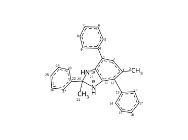 Cc1cc(-c2ccccc2)c2c(c1-c1ccccc1)NC(C)(c1ccccc1)N2